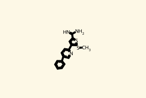 CSc1sc(C(=N)N)cc1-c1ccc(-c2ccccc2)cn1